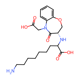 NCCCCCCCC(N[C@H]1COc2ccccc2N(CC(=O)O)C1=O)C(=O)O